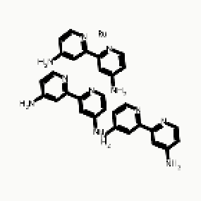 Nc1ccnc(-c2cc(N)ccn2)c1.Nc1ccnc(-c2cc(N)ccn2)c1.Nc1ccnc(-c2cc(N)ccn2)c1.[Ru]